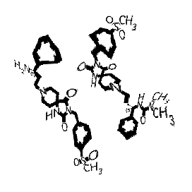 CN(C)C(=O)N[C@@H](CCN1CCC2(CC1)NC(=O)N(Cc1ccc(S(C)(=O)=O)cc1)C2=O)c1ccccc1.CS(=O)(=O)c1ccc(CN2C(=O)NC3(CCN(CC[C@H](N)c4ccccc4)CC3)C2=O)cc1